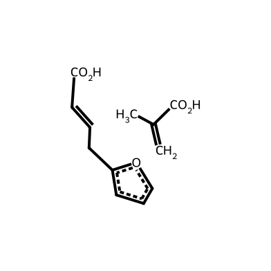 C=C(C)C(=O)O.O=C(O)/C=C/Cc1ccco1